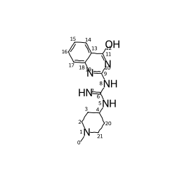 CN1CCC(NC(=N)Nc2nc(O)c3ccccc3n2)CC1